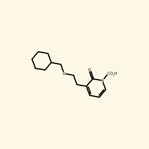 O=C(O)n1cccc(CCOCC2CCCCC2)c1=O